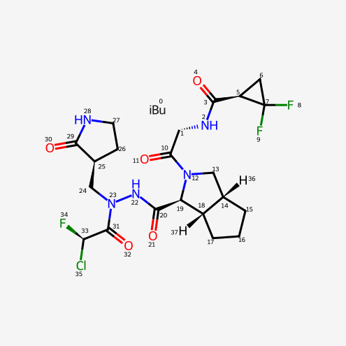 CC[C@H](C)[C@H](NC(=O)[C@H]1CC1(F)F)C(=O)N1C[C@@H]2CCC[C@@H]2[C@H]1C(=O)NN(C[C@@H]1CCNC1=O)C(=O)[C@H](F)Cl